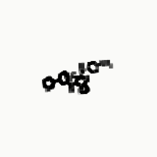 Cc1c(N[C@H]2CC[C@H](N)CC2)nc2ccnn2c1Nc1cccc(-c2cccnc2)c1